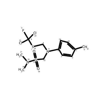 Cc1ccc(N(CSC(F)(Cl)Cl)CS(=O)(=O)N(C)C)cc1